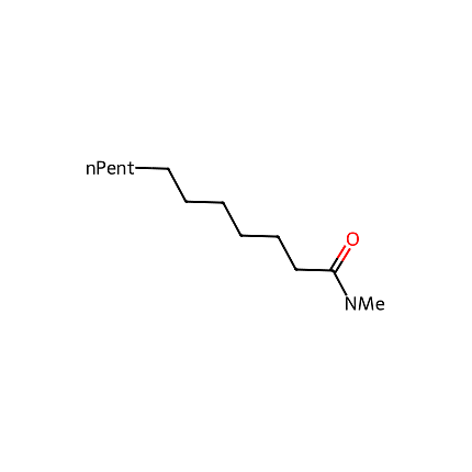 CCCCCCCCCCCC(=O)NC